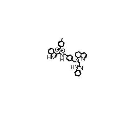 Cc1ccc(S(=O)(=O)C(NCc2ccc(CN(Cc3nc4ccccc4[nH]3)C3CCCc4cccnc43)cc2)c2c[nH]c3ccccc23)cc1